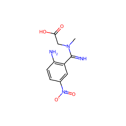 CN(CC(=O)O)C(=N)c1cc([N+](=O)[O-])ccc1N